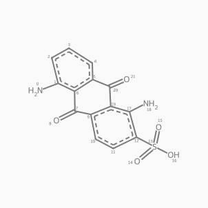 Nc1cccc2c1C(=O)c1ccc(S(=O)(=O)O)c(N)c1C2=O